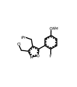 COc1ccc(F)c(-c2onc(CCl)c2CC(C)C)c1